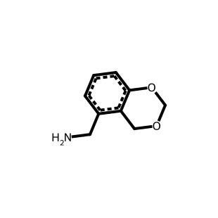 NCc1cccc2c1COCO2